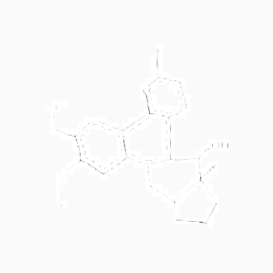 COc1cc2c3c(c4ccc(C)cc4c2cc1CO)C(O)C1(C)CCCN1C3